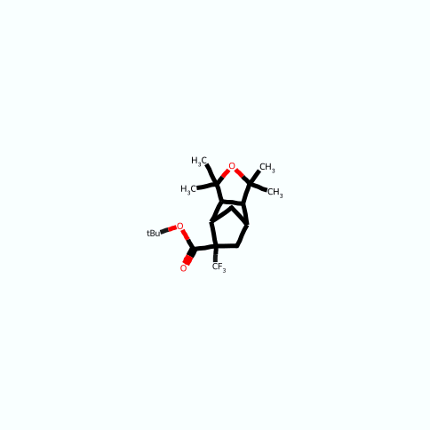 CC(C)(C)OC(=O)C1(C(F)(F)F)CC2CC1C1C2C(C)(C)OC1(C)C